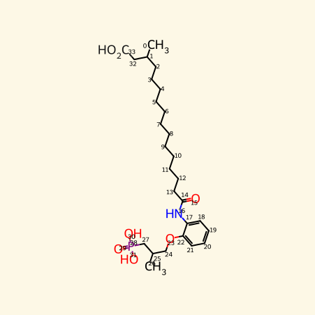 CC(CCCCCCCCCCCCC(=O)Nc1ccccc1OCC(C)CP(=O)(O)O)CC(=O)O